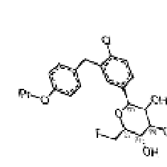 CC(C)Oc1ccc(Cc2cc([C@@H]3O[C@H](CF)[C@@H](O)[C@H](O)C3O)ccc2Cl)cc1